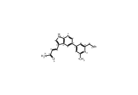 Cc1cc(-c2cnc3[nH]cc(/C=C/C(N)=O)c3c2)cc(CC(C)C)n1